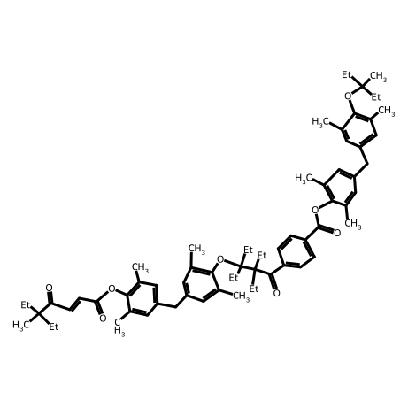 CCC(C)(CC)Oc1c(C)cc(Cc2cc(C)c(OC(=O)c3ccc(C(=O)C(CC)(CC)C(CC)(CC)Oc4c(C)cc(Cc5cc(C)c(OC(=O)C=CC(=O)C(C)(CC)CC)c(C)c5)cc4C)cc3)c(C)c2)cc1C